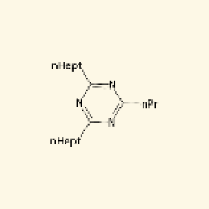 [CH2]CCc1nc(CCCCCCC)nc(CCCCCCC)n1